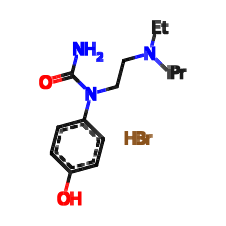 Br.CCN(CCN(C(N)=O)c1ccc(O)cc1)C(C)C